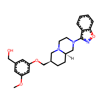 COc1cc(CO)cc(OC[C@@H]2CC[C@@H]3CN(c4noc5ccccc45)CCN3C2)c1